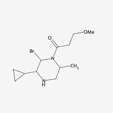 COCCC(=O)N1C(C)[CH]NC(C2CC2)C1Br